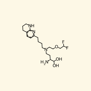 N[C@@H](CCN(CCCCc1ccc2c(n1)NCCC2)CCOCC(F)F)C(O)O